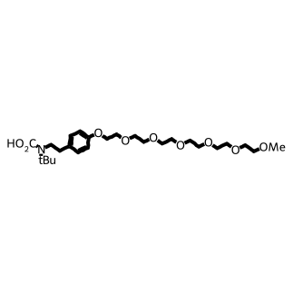 COCCOCCOCCOCCOCCOCCOc1ccc(CCN(C(=O)O)C(C)(C)C)cc1